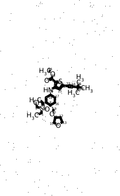 CC[Si](CC)(CC)O[C@]1(CO[C@H]2CCOC2)CC[C@@H](Nc2cc(C#CC(C)(C)C)sc2C(=O)OC)CC1